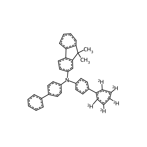 [2H]c1c([2H])c([2H])c(-c2ccc(N(c3ccc(-c4ccccc4)cc3)c3ccc4c(c3)C(C)(C)c3ccccc3-4)cc2)c([2H])c1[2H]